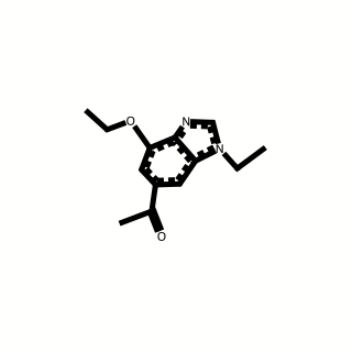 CCOc1cc(C(C)=O)cc2c1ncn2CC